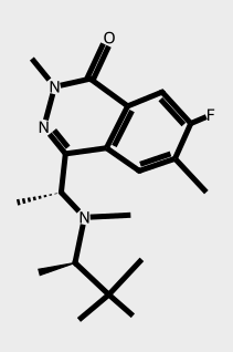 Cc1cc2c([C@@H](C)N(C)[C@H](C)C(C)(C)C)nn(C)c(=O)c2cc1F